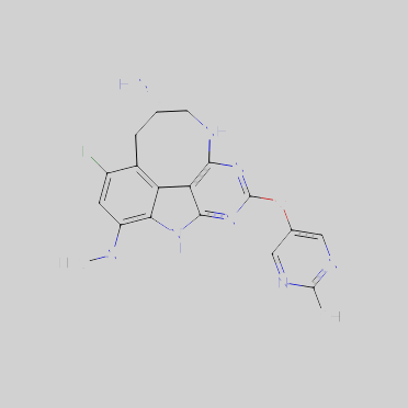 CNc1cc(F)c2c3c1[nH]c1nc(Oc4cnc(C)nc4)nc(c13)NC[C@@H](N)C2